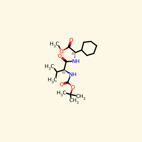 COC(=O)[C@@H](NC(=O)[C@@H](NC(=O)OC(C)(C)C)C(C)C)C1CCCCC1